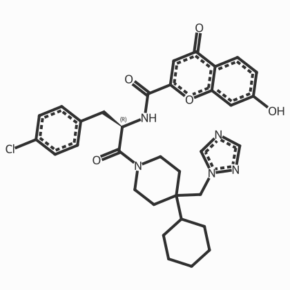 O=C(N[C@H](Cc1ccc(Cl)cc1)C(=O)N1CCC(Cn2cncn2)(C2CCCCC2)CC1)c1cc(=O)c2ccc(O)cc2o1